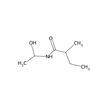 [CH2]C(O)NC(=O)C(C)CC